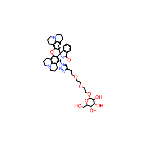 O=C1c2ccccc2C2(c3cc4c5c(c3Oc3c2cc2c6c3CCCN6CCC2)CCCN5CCC4)N1Cn1cc(CCOCCOCCO[C@H]2OC(CO)[C@H](O)[C@@H](O)C2O)nn1